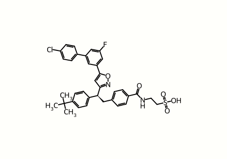 CC(C)(C)c1ccc([C@H](Cc2ccc(C(=O)NCCS(=O)(=O)O)cc2)c2cc(-c3cc(F)cc(-c4ccc(Cl)cc4)c3)on2)cc1